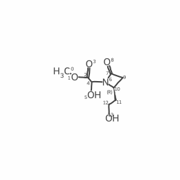 COC(=O)C(O)N1C(=O)C[C@H]1CCO